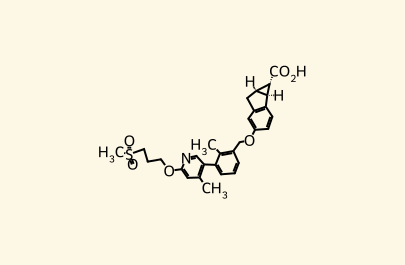 Cc1cc(OCCCS(C)(=O)=O)ncc1-c1cccc(COc2ccc3c(c2)C[C@H]2[C@H](C(=O)O)[C@@H]32)c1C